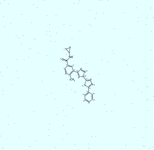 Cc1ccc(C(=O)NC2CC2)cc1-c1cnn(-c2cnc(-c3ccccc3)s2)c1